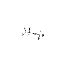 FC(F)C(F)(F)C#CC(F)(F)F